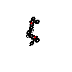 Cc1ccc(N(c2ccc3cc4c(cc3c2)oc2ccc3c5cc6ccc(N(c7ccccc7)c7ccccc7C(C)(C)C)cc6cc5oc3c24)c2ccccc2C(C)(C)C)cc1